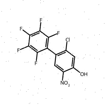 O=[N+]([O-])c1cc(-c2c(F)c(F)c(F)c(F)c2F)c(Cl)cc1O